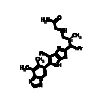 CCCN(c1nc2c(C(C)C)c(-c3cn4ncnc4c(C)c3C)[nH]c2s1)[C@@H](C)CNCC(N)=O